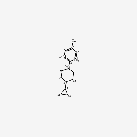 Fc1cnc(N2CCC(C3CC3)CC2)nc1